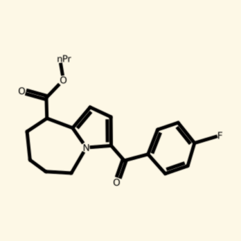 CCCOC(=O)C1CCCCn2c(C(=O)c3ccc(F)cc3)ccc21